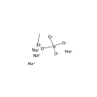 CCC.[Na+].[Na+].[Na+].[Na+].[O-][Si]([O-])([O-])[O-]